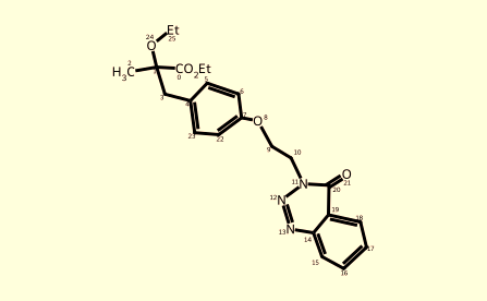 CCOC(=O)C(C)(Cc1ccc(OCCn2nnc3ccccc3c2=O)cc1)OCC